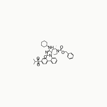 CC(C)S(=O)(=O)c1ccc(-c2ccccc2N2C(=O)N=C(NC3CCCCC3)[C@]23CCN(C(=O)OCc2ccccc2)[C@@H](C)C3)cc1